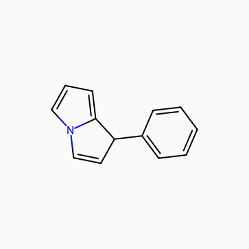 C1=Cn2cccc2C1c1ccccc1